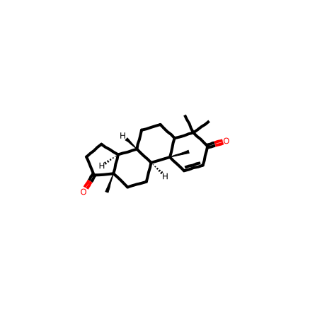 CC1(C)C(=O)C=C[C@@]2(C)C1CC[C@@H]1[C@@H]2CC[C@]2(C)C(=O)CC[C@@H]12